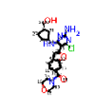 Nc1nc(Cl)c(-c2cc3ccc(C(=O)N4CCOCC4)cc3o2)c(N[C@H]2CC[C@@H](CO)C2)n1